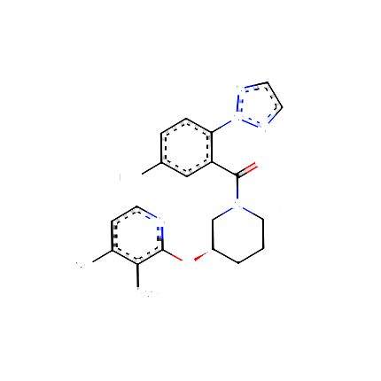 COc1c(C#N)ccnc1O[C@@H]1CC[C@@H](C)N(C(=O)c2cc(C)ccc2-n2nccn2)C1